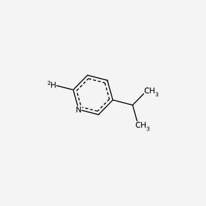 [2H]c1ccc(C(C)C)cn1